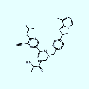 CC1=CC=CN2CC(c3ccc(C[C@@H](CNC(=O)[C@@H](C)N)NC(=O)c4ccc(OC(C)C)c(C#N)c4)cc3)N=C12